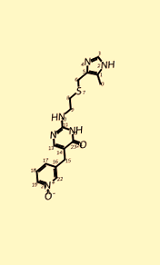 Cc1[nH]cnc1CSCCNc1ncc(Cc2ccc[n+]([O-])c2)c(=O)[nH]1